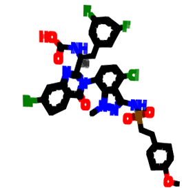 COc1ccc(CCS(=O)(=O)Nc2nn(C)c3c(-n4c([C@H](Cc5cc(F)cc(F)c5)NC(=O)O)nc5cc(Br)ccc5c4=O)ccc(Cl)c23)cc1